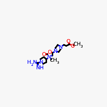 COC(=O)CCN1CCN(C2C[N+](C)(C3CCN(C(=N)N)CC3)C(=O)O2)CC1